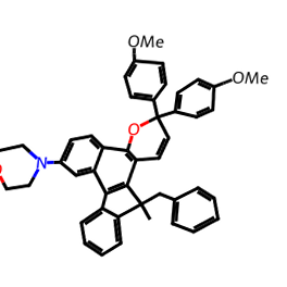 COc1ccc(C2(c3ccc(OC)cc3)C=Cc3c4c(c5cc(N6CCOCC6)ccc5c3O2)-c2ccccc2C4(C)Cc2ccccc2)cc1